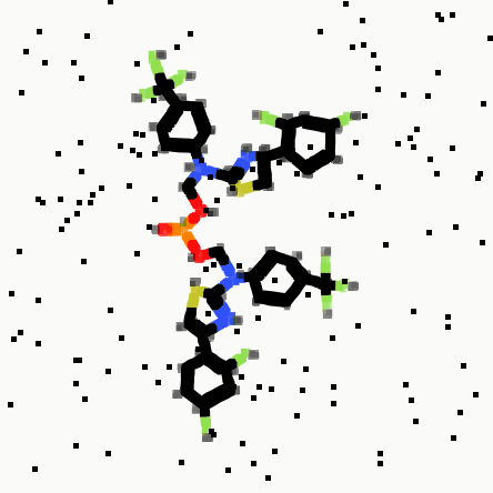 O=[PH](OCN(c1ccc(C(F)(F)F)cc1)c1nc(-c2ccc(F)cc2F)cs1)OCN(c1ccc(C(F)(F)F)cc1)c1nc(-c2ccc(F)cc2F)cs1